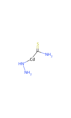 N[NH][Cd][C](N)=S